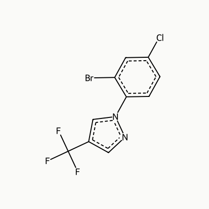 FC(F)(F)c1cnn(-c2ccc(Cl)cc2Br)c1